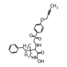 CC#CCOc1ccc(S(=O)(=O)CNC(C(=O)NO)C(C)(C)SCc2ccccc2)cc1